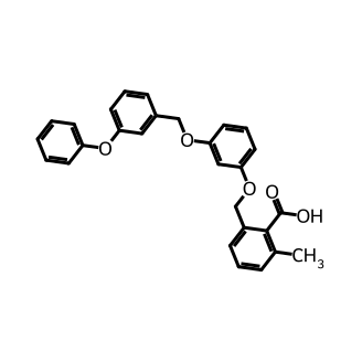 Cc1cccc(COc2cccc(OCc3cccc(Oc4ccccc4)c3)c2)c1C(=O)O